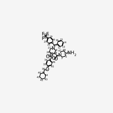 NC1CCN(C(=O)[C@@H]2CN(C(c3ccccc3)c3ccc(C(F)(F)F)cc3)CCN2S(=O)(=O)c2ccc(OCC3CCCCC3)cc2)CC1